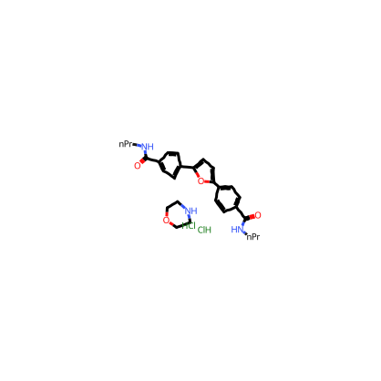 C1COCCN1.CCCNC(=O)c1ccc(-c2ccc(-c3ccc(C(=O)NCCC)cc3)o2)cc1.Cl.Cl